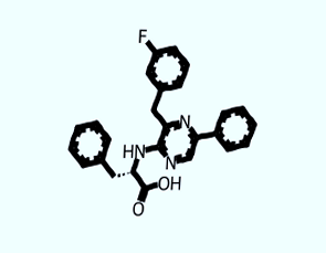 O=C(O)[C@H](Cc1ccccc1)Nc1ncc(-c2ccccc2)nc1Cc1cccc(F)c1